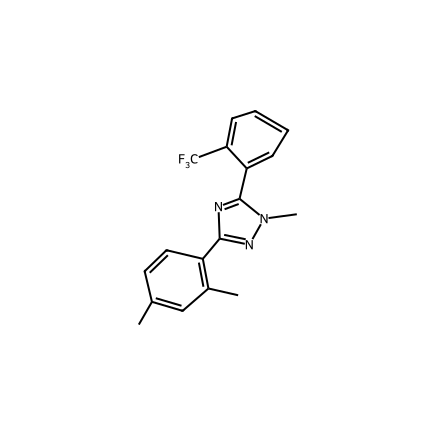 Cc1ccc(-c2nc(-c3ccccc3C(F)(F)F)n(C)n2)c(C)c1